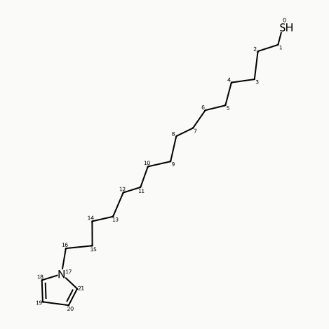 SCCCCCCCCCCCCCCCCn1cccc1